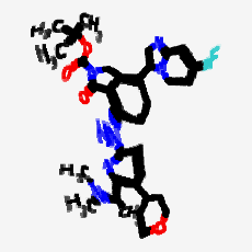 CC(c1nc(Nc2ccc(-c3cnc4cc(F)ccn34)c3c2C(=O)N(C(=O)OC(C)(C)C)C3)ccc1C1CCOCC1)N(C)C